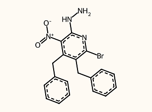 NNc1nc(Br)c(Cc2ccccc2)c(Cc2ccccc2)c1[N+](=O)[O-]